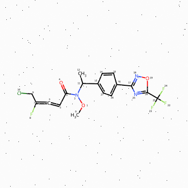 CON(C(=O)C=C=C(F)CCl)C(C)c1ccc(-c2noc(C(F)(F)F)n2)cc1